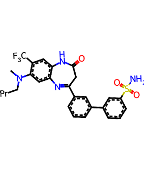 CC(C)CN(C)c1cc2c(cc1C(F)(F)F)NC(=O)CC(c1cccc(-c3cccc(S(N)(=O)=O)c3)c1)=N2